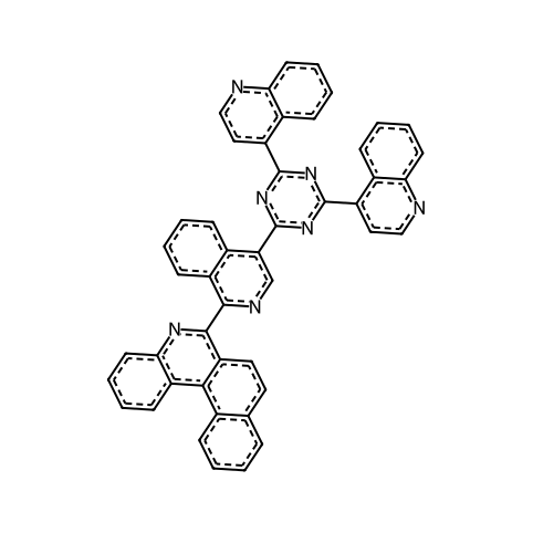 c1ccc2c(c1)ccc1c(-c3ncc(-c4nc(-c5ccnc6ccccc56)nc(-c5ccnc6ccccc56)n4)c4ccccc34)nc3ccccc3c12